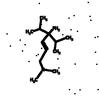 CC(C)C(P)(C=CCN(C)C)C(C)C